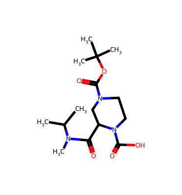 CC(C)N(C)C(=O)C1CN(C(=O)OC(C)(C)C)CCN1C(=O)O